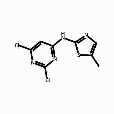 Cc1cnc(Nc2cc(Cl)nc(Cl)n2)s1